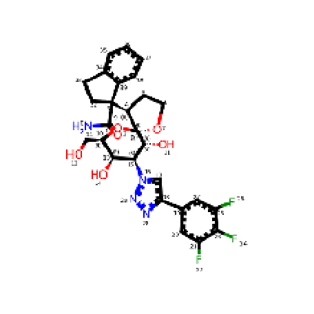 NC(=O)C1([C@H]2CCO[C@]23O[C@H](CO)[C@H](O)[C@H](n2cc(-c4cc(F)c(F)c(F)c4)nn2)[C@H]3O)CCc2ccccc21